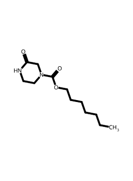 CCCCCCCOC(=O)N1CCNC(=O)C1